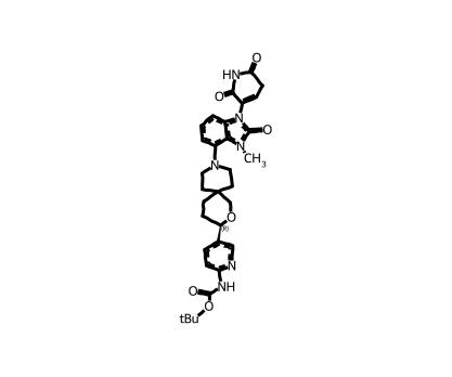 Cn1c(=O)n(C2=CCC(=O)NC2=O)c2cccc(N3CCC4(CC[C@H](c5ccc(NC(=O)OC(C)(C)C)nc5)OC4)CC3)c21